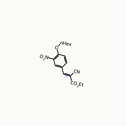 CCCCCCOc1ccc(/C=C(\C#N)C(=O)OCC)cc1[N+](=O)[O-]